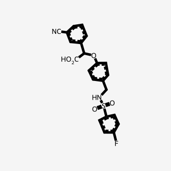 N#Cc1cccc(C(Oc2ccc(CNS(=O)(=O)c3ccc(F)cc3)cc2)C(=O)O)c1